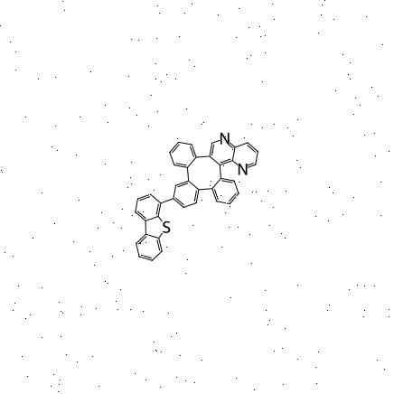 c1ccc2c(c1)-c1cc(-c3cccc4c3sc3ccccc34)ccc1-c1ccccc1-c1c-2cnc2cccnc12